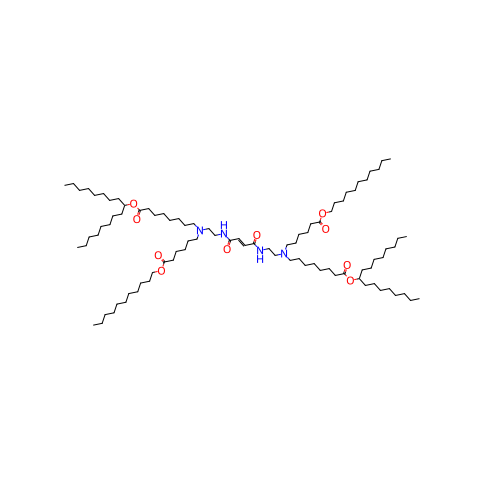 CCCCCCCCCCCOC(=O)CCCCCN(CCCCCCCC(=O)OC(CCCCCCCC)CCCCCCCC)CCNC(=O)/C=C/C(=O)NCCN(CCCCCCCC(=O)OC(CCCCCCCC)CCCCCCCC)CCCCCC(=O)OCCCCCCCCCCC